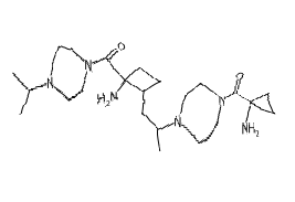 CC(C)N1CCN(C(=O)C2(N)CCC2CC(C)N2CCN(C(=O)C3(N)CC3)CC2)CC1